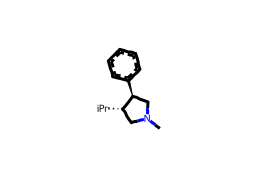 CC(C)[C@H]1CN(C)C[C@@H]1c1ccccc1